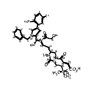 CC(C)(C)C(c1cc(-c2cc(F)ccc2F)cn1Cc1ccccc1)N(CCC(CNC(=O)CCC(=O)O)NC(=O)OCC[Si](C)(C)C)C(=O)CO